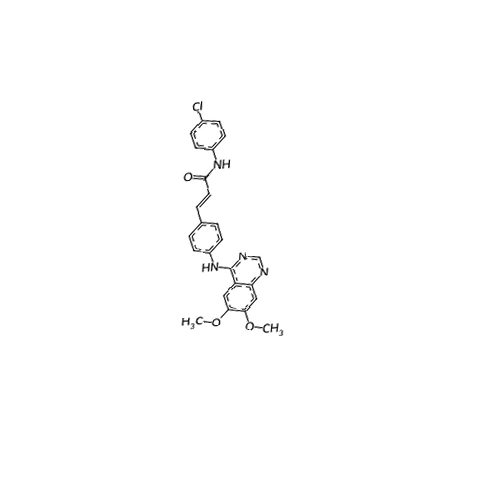 COc1cc2ncnc(Nc3ccc(C=CC(=O)Nc4ccc(Cl)cc4)cc3)c2cc1OC